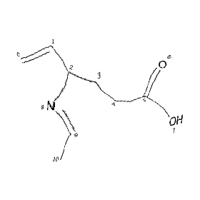 C=CC(CCC(=O)O)N=CC